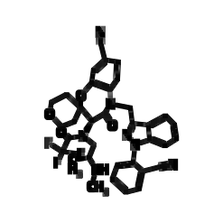 CN[C@@H](C)CN(C(=O)C(F)(F)F)[C@@H]1C(=O)N(Cc2nn(-c3ccccc3C#N)c3ccccc23)c2ccc(C#N)cc2OC12CCOCC2